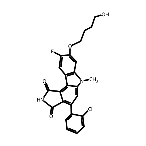 Cn1c2cc(OCCCCO)c(F)cc2c2c3c(c(-c4ccccc4Cl)cc21)C(=O)NC3=O